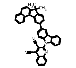 CC1(C)c2ccc(-c3ccc4c(c3)c3ccccc3n4-c3nc4ccccc4c(C#N)c3C#N)cc2-c2c1ccc1ccccc21